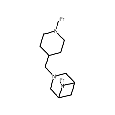 CC(C)N1CCC(CN2CC3CC(C2)N3C(C)C)CC1